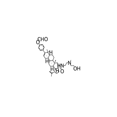 C=C(C)[C@@H]1CC[C@]2(C(=O)NCCN(C)CCO)CC[C@]3(C)[C@H](CC[C@@H]4[C@@]5(C)CC=C(c6ccc(OC=O)cc6)C(C)(C)[C@@H]5CC[C@]43C)[C@@H]12